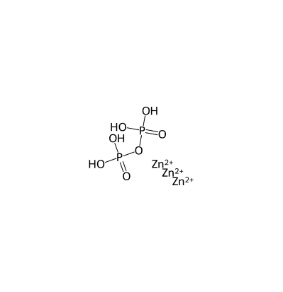 O=P(O)(O)OP(=O)(O)O.[Zn+2].[Zn+2].[Zn+2]